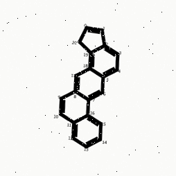 C1=Cc2ccc3cc4c(ccc5ccccc54)cc3c2C1